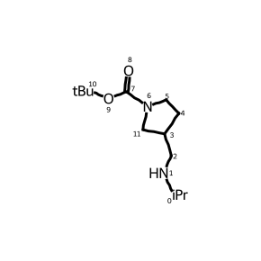 CC(C)NCC1CCN(C(=O)OC(C)(C)C)C1